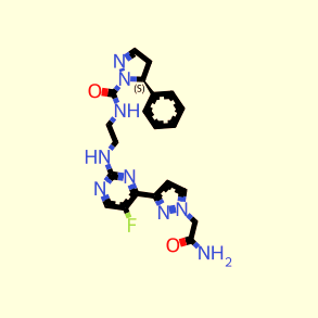 NC(=O)Cn1ccc(-c2nc(NCCNC(=O)N3N=CC[C@H]3c3ccccc3)ncc2F)n1